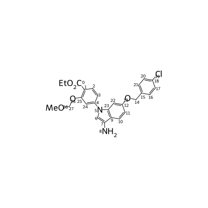 CCOC(=O)c1ccc(-n2cc(N)c3ccc(OCc4ccc(Cl)cc4)cc32)cc1OCOC